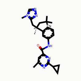 Cc1cc(C(=O)Nc2cccc([C@@](C)(Cc3nncn3C)CC(C)(C)C#N)c2)nc(C2CC2)n1